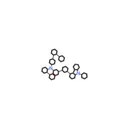 c1ccc(-c2ccccc2-c2ccc(N(c3cccc(-c4cccc(-c5cccc6c5c5ccccc5n6-c5ccccc5)c4)c3)c3ccccc3-c3ccccc3)cc2)cc1